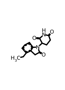 CCc1cccc2c1CC(=O)N2C1CCC(=O)NC1=O